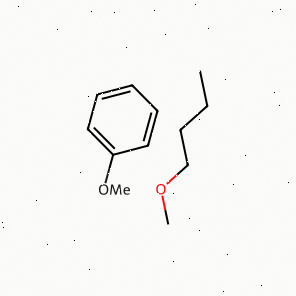 CCCCOC.COc1ccccc1